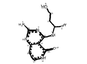 CCCC(CCO)Nc1nc(N)nc2cc[nH]c(=O)c12